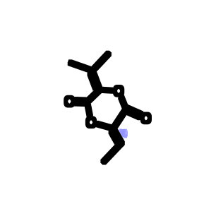 C/C=c1\oc(=O)c(=C(C)C)oc1=O